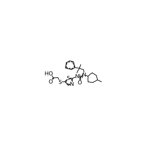 CC1CCC(N(CC(C)(C)c2ccccc2)C(=O)Nc2ncc(SCC(=O)O)s2)CC1